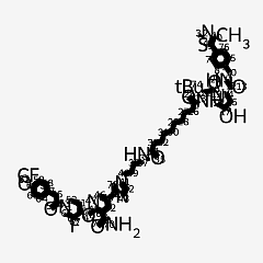 Cc1ncsc1-c1ccc(CNC(=O)[C@@H]2C[C@@H](O)CN2C(=O)[C@@H](NC(=O)CCCCCCCCC(=O)NCCCCn2cnc(-c3cnc(O[C@@H]4CCN(C(=O)Cc5ccc(OC(F)(F)F)cc5)C[C@H]4F)c(C(N)=O)c3)c2)C(C)(C)C)cc1